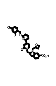 O=C(O)c1ccc2nc(Cn3ccc(-c4cccc(OCc5ccc(Cl)cc5F)n4)cc3=O)n(CC3CCO3)c2c1